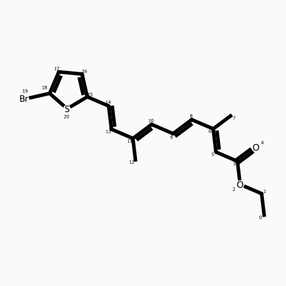 CCOC(=O)C=C(C)C=CC=C(C)C=Cc1ccc(Br)s1